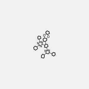 c1ccc(-c2cc(-c3ccccc3)nc(-c3ccc(-c4ccc5c(c4)Oc4ccccc4O5)c(-c4nc(-c5ccccc5)nc(-c5ccccc5)n4)c3)n2)cc1